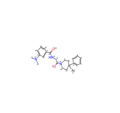 CC(=O)C1(c2ccccc2)CCN(C(=O)CNC(=O)c2cccc(N(C)C)c2)CC1